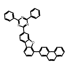 c1ccc(-c2nc(-c3ccccc3)nc(-c3ccc4c(c3)oc3c(-c5ccc6c(ccc7ccccc76)c5)cccc34)n2)cc1